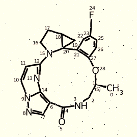 C[C@H]1CNC(=O)c2cnn3ccc(nc23)N2CCC3CC32c2cc(F)ccc2O1